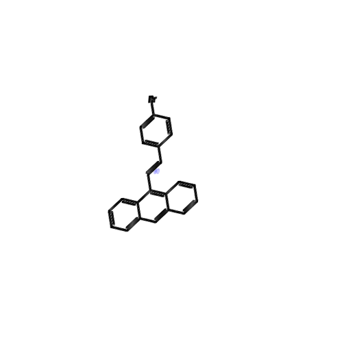 Brc1ccc(/C=C/c2c3ccccc3cc3ccccc23)cc1